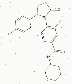 Cc1cc(C(=O)NC2CCCCC2)ccc1N1C(=O)CSC1c1ccc(F)cc1